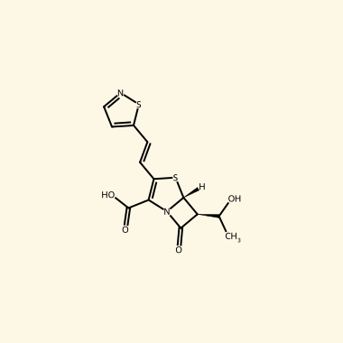 CC(O)[C@H]1C(=O)N2C(C(=O)O)=C(/C=C/c3ccns3)S[C@H]12